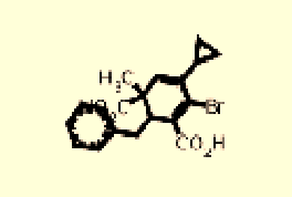 CC1(C(=O)O)C=C(C2CC2)C(Br)=C(C(=O)O)C1Cc1ccccc1